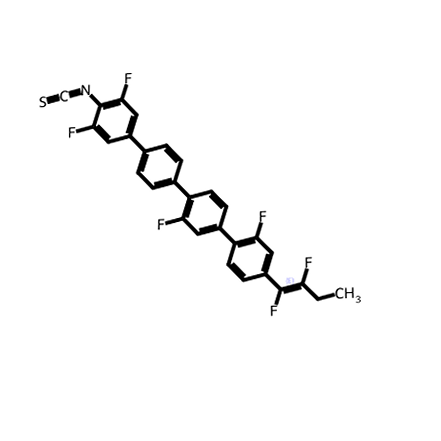 CC/C(F)=C(\F)c1ccc(-c2ccc(-c3ccc(-c4cc(F)c(N=C=S)c(F)c4)cc3)c(F)c2)c(F)c1